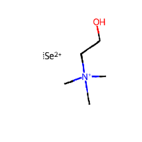 C[N+](C)(C)CCO.[Se+2]